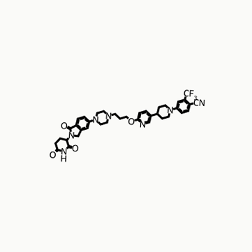 N#Cc1ccc(N2CCC(c3ccc(OCCCN4CCN(c5ccc6c(c5)CN(C5CCC(=O)NC5=O)C6=O)CC4)nc3)CC2)cc1C(F)(F)F